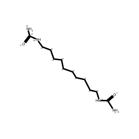 NC(=O)NCCCCCCCCCCNC(N)=O